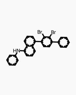 Brc1c(-c2ccccc2)ccc(-c2cccc3c(Nc4ccccc4)cccc23)c1Br